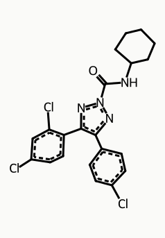 O=C(NC1CCCCC1)n1nc(-c2ccc(Cl)cc2)c(-c2ccc(Cl)cc2Cl)n1